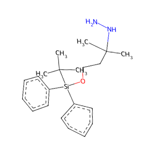 CC(C)(CCO[Si](c1ccccc1)(c1ccccc1)C(C)(C)C)NN